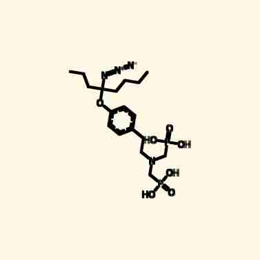 CCCCC(CCC)(N=[N+]=[N-])Oc1ccc(CCN(CP(=O)(O)O)CP(=O)(O)O)cc1